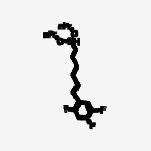 CCCO[SiH](CCCCCCc1cc(F)c(F)cc1F)OCCC